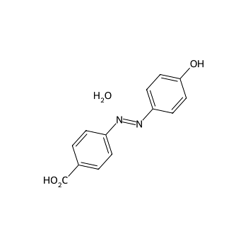 O.O=C(O)c1ccc(/N=N/c2ccc(O)cc2)cc1